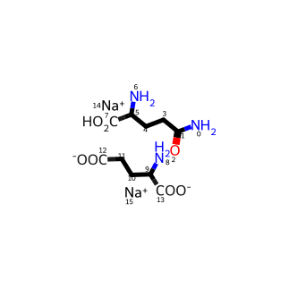 NC(=O)CCC(N)C(=O)O.NC(CCC(=O)[O-])C(=O)[O-].[Na+].[Na+]